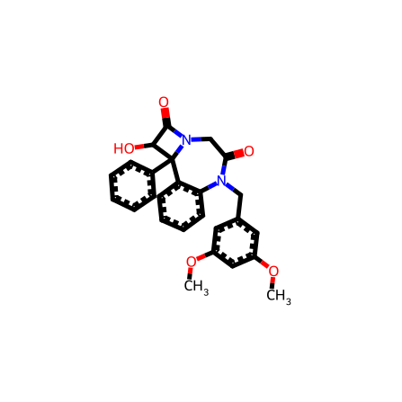 COc1cc(CN2C(=O)CN3C(=O)C(O)C3(c3ccccc3)c3ccccc32)cc(OC)c1